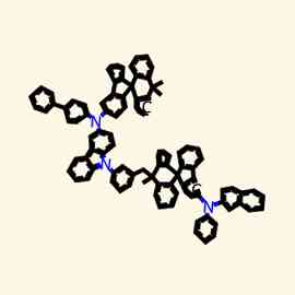 CC1(C)c2ccccc2C2(c3ccccc3-c3cc(N(c4ccc(-c5ccccc5)cc4)c4ccc5c(c4)c4ccccc4n5-c4cccc(CC5(C)c6ccccc6C6(c7ccccc7-c7cc(N(c8ccccc8)c8ccc9ccccc9c8)ccc76)c6ccccc65)c4)ccc32)c2ccccc21